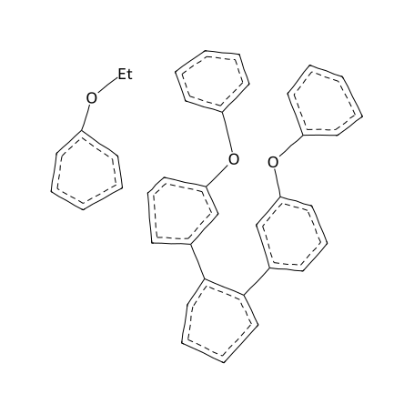 CCOc1ccccc1.c1ccc(Oc2cccc(-c3ccccc3-c3cccc(Oc4ccccc4)c3)c2)cc1